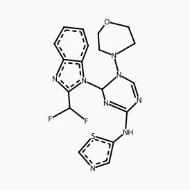 FC(F)c1nc2ccccc2n1C1N=C(Nc2cncs2)N=CN1N1CCOCC1